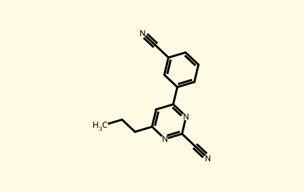 CCCc1cc(-c2cccc(C#N)c2)nc(C#N)n1